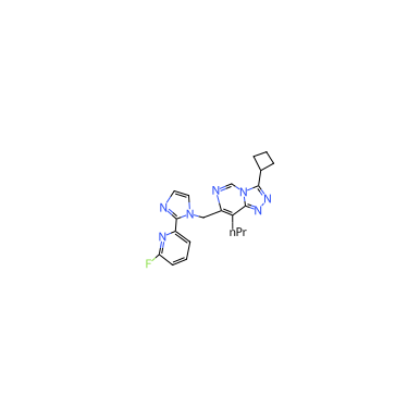 CCCc1c(Cn2ccnc2-c2cccc(F)n2)ncn2c(C3CCC3)nnc12